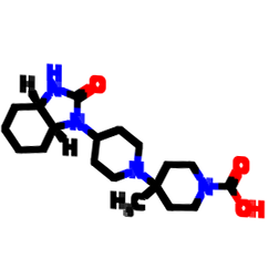 CC1(N2CCC(N3C(=O)N[C@H]4CCCC[C@H]43)CC2)CCN(C(=O)O)CC1